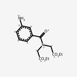 CCOC(=O)CN(CC(=O)OCC)C(=O)c1cccc(N)c1